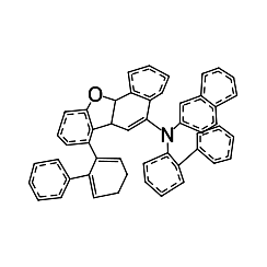 C1=C(c2ccccc2)C(c2cccc3c2C2C=C(N(c4ccc5ccccc5c4)c4ccccc4-c4ccccc4)c4ccccc4C2O3)=CCC1